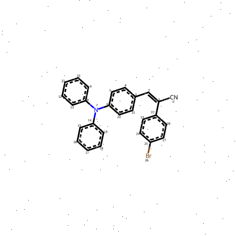 N#CC(=Cc1ccc(N(c2ccccc2)c2ccccc2)cc1)c1ccc(Br)cc1